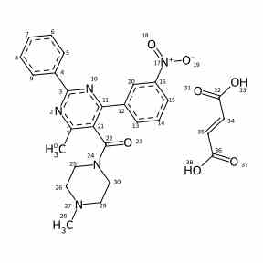 Cc1nc(-c2ccccc2)nc(-c2cccc([N+](=O)[O-])c2)c1C(=O)N1CCN(C)CC1.O=C(O)/C=C/C(=O)O